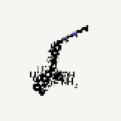 COc1cccc2c1C(=O)c1c(O)c3c(c(O)c1C2=O)C[C@](O)(C(=O)COC(=O)Oc1cc(C)c2c(c1)CC[C@@](C)(CC/C=C(\C)CC/C=C(\C)CCC=C(C)C)O2)C[C@H]3OC1C[C@@H](N)[C@@H](O)[C@@H](C)O1